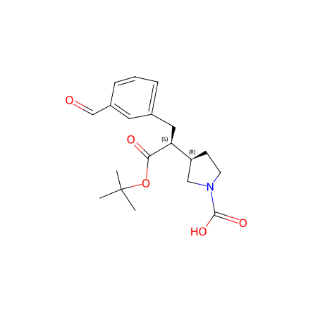 CC(C)(C)OC(=O)[C@@H](Cc1cccc(C=O)c1)[C@H]1CCN(C(=O)O)C1